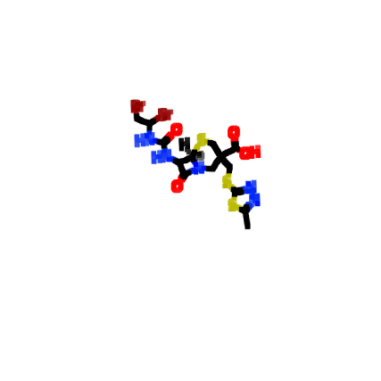 Cc1nnc(SCC2(C(=O)O)CS[C@@H]3C(NC(=O)NC(Br)CBr)C(=O)N3C2)s1